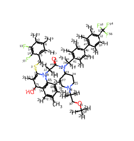 [2H]C1=C(SCc2c([2H])c([2H])c([2H])c(F)c2F)N(C([2H])([2H])C(=O)N(C2CCN(C([2H])([2H])COC([2H])([2H])[2H])CC2)C([2H])([2H])c2c([2H])c([2H])c(-c3c([2H])c([2H])c(C(F)(F)F)c([2H])c3[2H])c([2H])c2[2H])c2c([2H])c([2H])c(C)c([2H])c2C1O